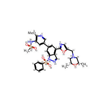 COc1ncc(-c2cc(-c3ncc(CN4C[C@@H](C)O[C@@H](C)C4)o3)c3cnn(S(=O)(=O)c4ccccc4)c3c2)cc1NS(C)(=O)=O